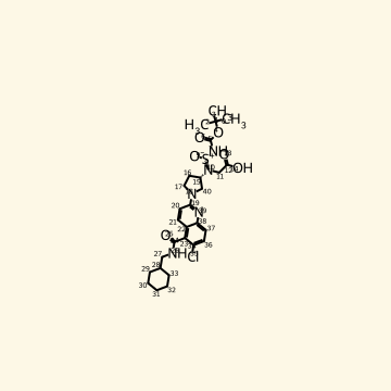 CC(C)(C)OC(=O)N[S+]([O-])N(CC(=O)O)[C@H]1CCN(c2ccc3c(C(=O)NCC4CCCCC4)c(Cl)ccc3n2)C1